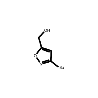 CCC(C)c1cc(CO)on1